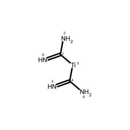 N=[C](N)[Ti][C](=N)N